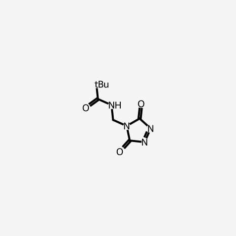 CC(C)(C)C(=O)NCN1C(=O)N=NC1=O